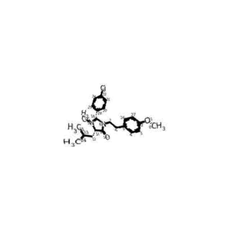 COc1ccc(CCN2C(=O)[C@H](CC(C)C)N(C)[C@@H]2c2ccc(Cl)cc2)cc1